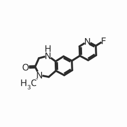 CN1Cc2ccc(-c3ccc(F)nc3)cc2NCC1=O